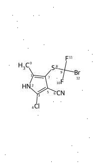 Cc1[nH]c(Cl)c(C#N)c1SC(F)(F)Br